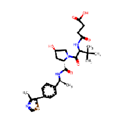 Cc1ncsc1-c1ccc([C@H](C)NC(=O)[C@@H]2C[C@@H](O)CN2C(=O)C(NC(=O)CCC(=O)O)C(C)(C)C)cc1